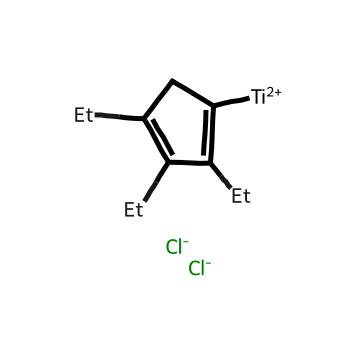 CCC1=C(CC)C(CC)=[C]([Ti+2])C1.[Cl-].[Cl-]